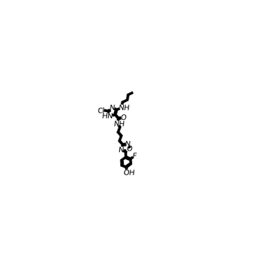 CCCCNc1nc(Cl)[nH]c1C(=O)NCCCCc1noc(-c2ccc(O)cc2F)n1